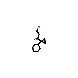 CCCC(=O)C1(C2CCCCC2)CC1